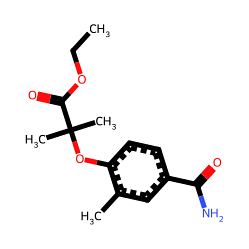 CCOC(=O)C(C)(C)Oc1ccc(C(N)=O)cc1C